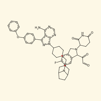 Nc1ncnc2c1c(-c1ccc(Oc3ccccc3)cc1)nn2C1CCC(CN2CC3CCC(C2)N3c2cc3c(cc2F)CN(C2CCC(=O)NC2=O)C3C(=O)C=O)CC1